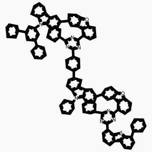 c1ccc(-c2cc(-c3ccccc3)cc(-n3c4ccccc4c4cc(-c5ccc6oc7cccc(-c8nc(-c9ccccc9)nc(-c9ccc(-c%10ccc%11c(c%10)c%10cc(-c%12ccc%13oc%14cccc(-c%15nc(-c%16ccccc%16)nc(-c%16cccc%17c%16sc%16c(-c%18ccccc%18)cccc%16%17)n%15)c%14c%13c%12)ccc%10n%11-c%10ccccc%10)cc9)n8)c7c6c5)ccc43)c2)cc1